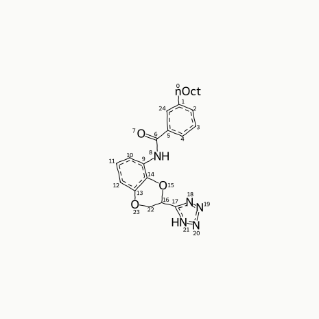 CCCCCCCCc1cccc(C(=O)Nc2cccc3c2OC(c2nnn[nH]2)CO3)c1